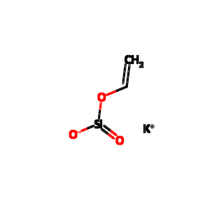 C=CO[Si](=O)[O-].[K+]